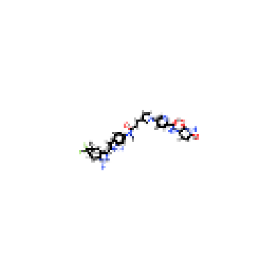 CN(C(=O)CCC1CCN(c2ccc(C(=O)NC3CCC(=O)NC3=O)nc2)C1)c1ccc2cc(-c3n[nH]c4c3C[C@@H]3C(F)(F)[C@]3(C)C4)[nH]c2c1